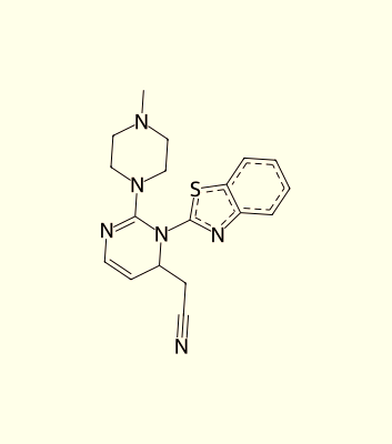 CN1CCN(C2=NC=CC(CC#N)N2c2nc3ccccc3s2)CC1